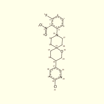 O=[N+]([O-])c1c(F)cccc1N1CCC2(CCC(c3ccc(Cl)nc3)CO2)CC1